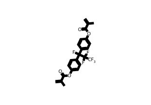 C=C(C)C(=O)Oc1ccc(C(F)(c2ccc(OC(=O)C(=C)C)cc2)C(F)(F)C(F)(F)F)cc1